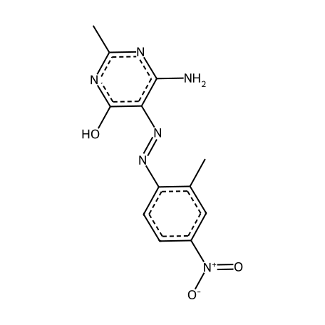 Cc1nc(N)c(/N=N/c2ccc([N+](=O)[O-])cc2C)c(O)n1